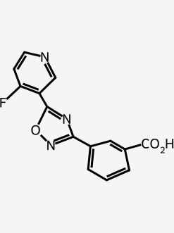 O=C(O)c1cccc(-c2noc(-c3cnccc3F)n2)c1